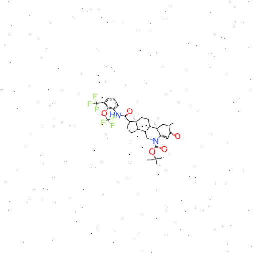 CC1C[C@@]2(C)C(=CC1=O)N(C(=O)OC(C)(C)C)CC1C3CCC(C(=O)Nc4cccc(C(F)(F)F)c4OC(F)(F)F)[C@@]3(C)CCC12